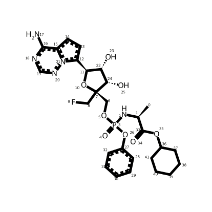 C[C@H](NP(=O)(OC[C@@]1(CF)O[C@@H](c2ccc3c(N)ncnn23)[C@H](O)[C@@H]1O)Oc1ccccc1)C(=O)OC1CCCCC1